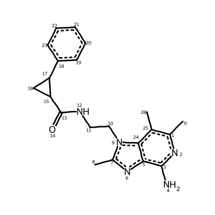 Cc1nc(N)c2nc(C)n(CCNC(=O)C3CC3c3ccccc3)c2c1C